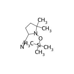 CC1(C)CCC(C#N)N1O[Si](C)(C)C